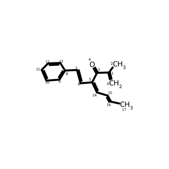 C=C(C)C(=O)C(C=Cc1ccccc1)=CC=CC